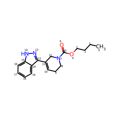 CCCCOC(=O)N1CCC=C(c2n[nH]c3ccccc23)C1